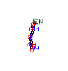 CC1(C)[C@H](NC(=O)c2ccc3c(c2)CCN(CC(=O)N2Cc4cc5c(cc4C2)C(=O)N(C2CCC(=O)NC2=O)C5=O)C3)C(C)(C)[C@H]1Oc1ccc(C#N)c(Cl)c1